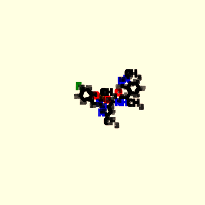 CC(C(=O)NCc1cc(C(F)(F)F)nn1N(Cc1ccc(F)cc1)S(C)(=O)=O)c1cccc2c1cnn2C